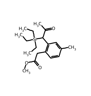 CC[Si](CC)(CC)C(C(C)=O)c1cc(C)ccc1CC(=O)OC